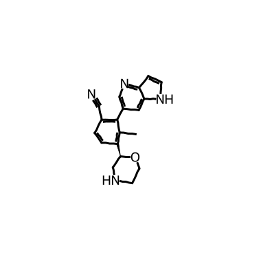 Cc1c([C@@H]2CNCCO2)ccc(C#N)c1-c1cnc2cc[nH]c2c1